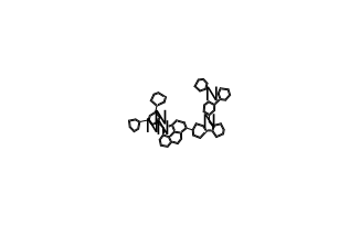 c1ccc(-c2cc(-c3ccccc3)nc(-n3c4cccc5ccc6c(-c7ccc8c9ccccc9n(-c9ccc%10c(c9)c9ccccc9n%10-c9ccccc9)c8c7)ccc3c6c54)n2)cc1